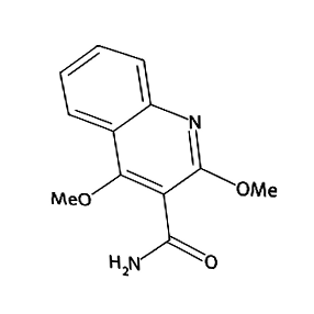 COc1nc2ccccc2c(OC)c1C(N)=O